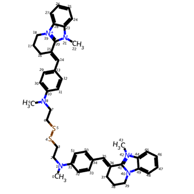 CN(CCSSCCN(C)c1ccc(/C=C2\CCC[n+]3c2n(C)c2ccccc23)cc1)c1ccc(/C=C2\CCCn3c2[n+](C)c2ccccc23)cc1